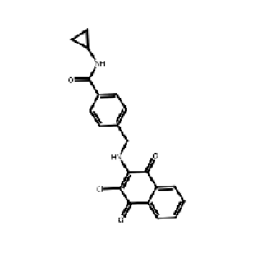 O=C(NC1CC1)c1ccc(CNC2=C(Cl)C(=O)c3ccccc3C2=O)cc1